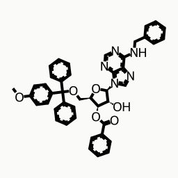 COc1ccc(C(OC[C@H]2O[C@@H](n3cnc4c(NCc5ccccc5)ncnc43)[C@H](O)[C@@H]2OC(=O)c2ccccc2)(c2ccccc2)c2ccccc2)cc1